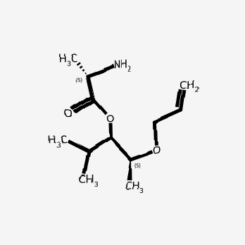 C=CCO[C@@H](C)C(OC(=O)[C@H](C)N)C(C)C